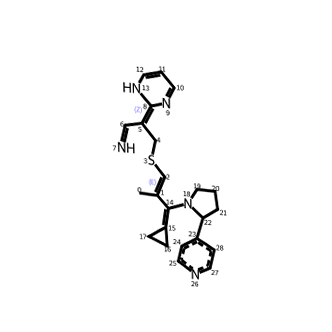 C/C(=C\SC/C(C=N)=C1\N=CC=CN1)C(=C1CC1)N1CCCC1c1ccncc1